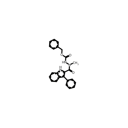 CN(NC(=O)OCc1ccccc1)C(=O)c1[nH]c2ccccc2c1-c1ccccc1